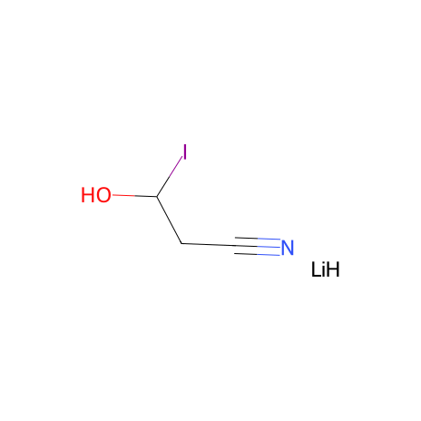 N#CCC(O)I.[LiH]